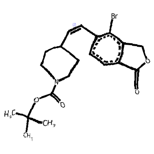 CC(C)(C)OC(=O)N1CCC(/C=C\c2ccc3c(c2Br)COC3=O)CC1